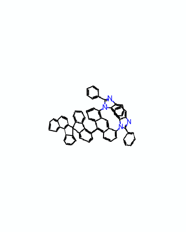 c1ccc(-c2nc3ccccc3n2-c2cccc3c(-c4cccc5c4-c4ccccc4C54c5ccccc5-c5c4ccc4ccccc54)c4cccc(-n5c(-c6ccccc6)nc6ccccc65)c4cc23)cc1